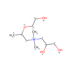 CC(C[N+](C)(C)CC(O)CO)OCCO